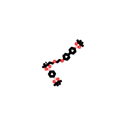 CC1(C)OB(c2ccc(B3OC(C)(C)[C@@](C)(CCOCCOc4ccc(-c5ccc(B6OC(C)(C)C(C)(C)O6)cc5)cc4)O3)cc2)OC1(C)C